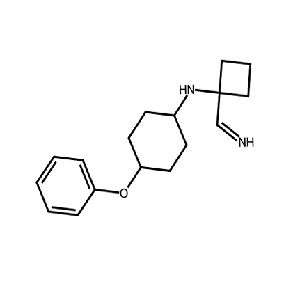 N=CC1(NC2CCC(Oc3ccccc3)CC2)CCC1